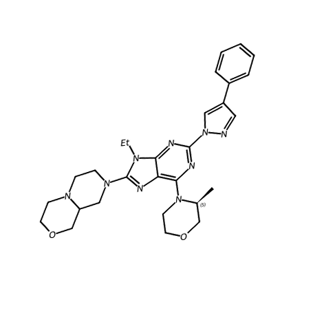 CCn1c(N2CCN3CCOCC3C2)nc2c(N3CCOC[C@@H]3C)nc(-n3cc(-c4ccccc4)cn3)nc21